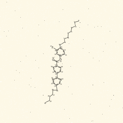 CCCCCCCCCCc1ccc(OC(=O)c2ccc(-c3ncc(CCCCCC)cn3)cc2)cc1F